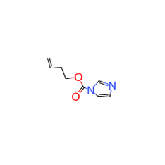 C=CCCOC(=O)n1ccnc1